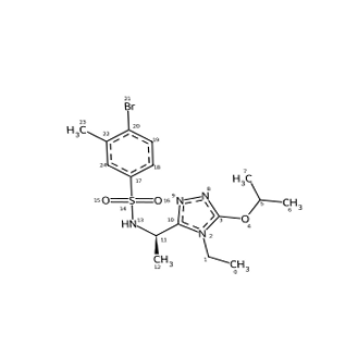 CCn1c(OC(C)C)nnc1[C@@H](C)NS(=O)(=O)c1ccc(Br)c(C)c1